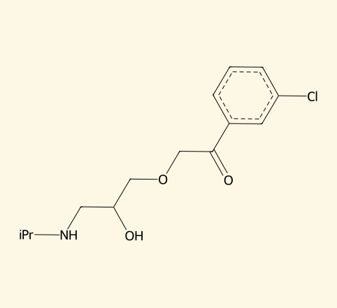 CC(C)NCC(O)COCC(=O)c1cccc(Cl)c1